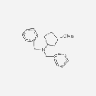 COC1CC[C@H](N(Cc2ccccc2)Cc2ccccc2)C1